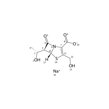 C[C@@H](O)[C@H]1C(=O)N2C(C(=O)[O-])=C(CO)S[C@H]12.[Na+]